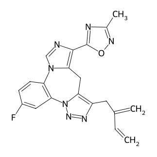 C=CC(=C)Cc1nnn2c1Cc1c(-c3nc(C)no3)ncn1-c1ccc(F)cc1-2